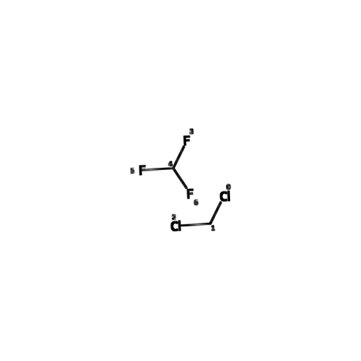 ClCCl.FC(F)F